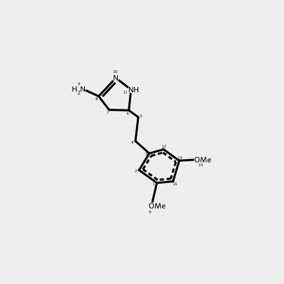 COc1cc(CCC2CC(N)=NN2)cc(OC)c1